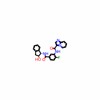 O=C(N[C@H]1c2ccccc2C[C@@H]1O)c1ccc(F)c(NC(=O)c2cnc3ccccn23)c1